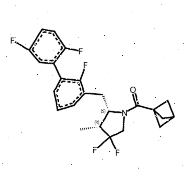 C[C@@H]1[C@H](Cc2cccc(-c3cc(F)ccc3F)c2F)N(C(=O)C23CC(C2)C3)CC1(F)F